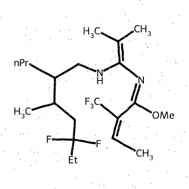 C/C=C(\C(=N/C(NCC(CCC)C(C)CC(F)(F)CC)=C(C)C)OC)C(F)(F)F